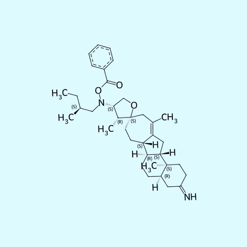 CC[C@H](C)CN(OC(=O)c1ccccc1)[C@@H]1CO[C@]2(CC[C@@H]3C(=C(C)C2)C[C@H]2[C@H]3CC[C@@H]3CC(=N)CC[C@@]32C)[C@@H]1C